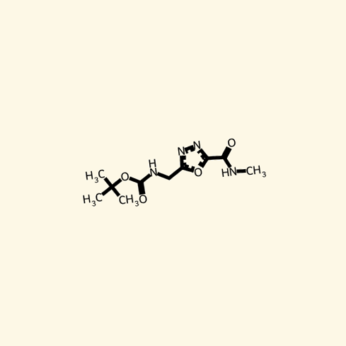 CNC(=O)c1nnc(CNC(=O)OC(C)(C)C)o1